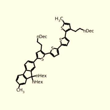 CCCCCCCCCCCCc1cc(C)sc1-c1ccc(-c2ccc(-c3sc(-c4ccc5c(c4)C(CCCCCC)(CCCCCC)c4cc(C)ccc4-5)cc3CCCCCCCCCCCC)s2)s1